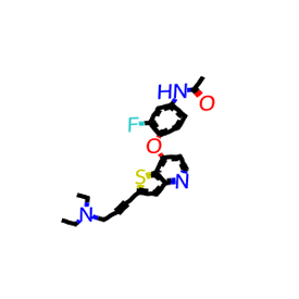 CCN(CC)CC#Cc1cc2nccc(Oc3ccc(NC(C)=O)cc3F)c2s1